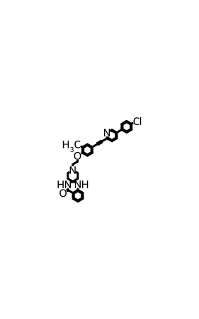 Cc1cc(C#Cc2ccc(-c3ccc(Cl)cc3)cn2)ccc1OCCN1CCC2(CC1)NC(=O)c1ccccc1N2